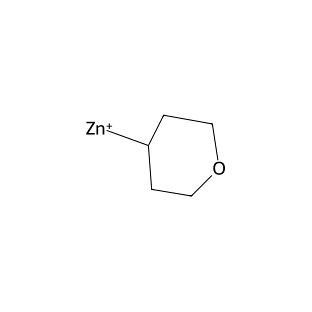 [Zn+][CH]1CCOCC1